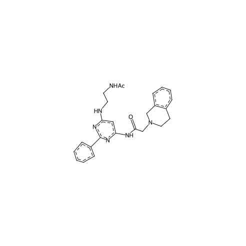 CC(=O)NCCNc1cc(NC(=O)CN2CCc3ccccc3C2)nc(-c2ccccc2)n1